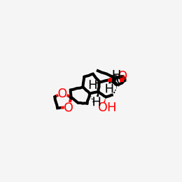 CC1CCO[C@H]2CC[C@H]3[C@@H]4CCC5CC6(CC[C@]5(C)[C@H]4[C@@H](O)C[C@]23C1)OCCO6